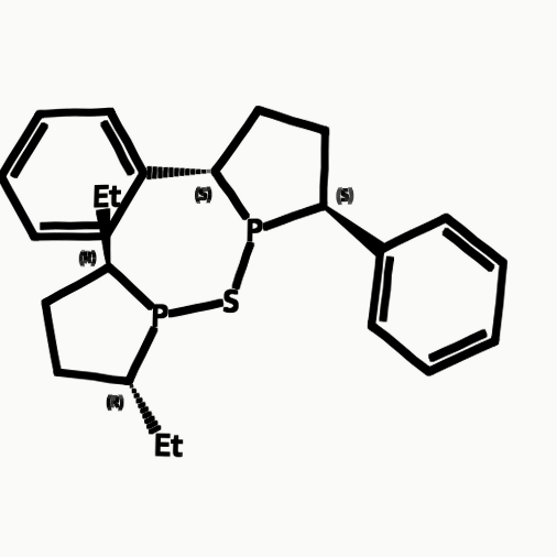 CC[C@@H]1CC[C@@H](CC)P1SP1[C@H](c2ccccc2)CC[C@H]1c1ccccc1